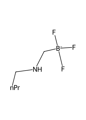 CCCCNC[B-](F)(F)F